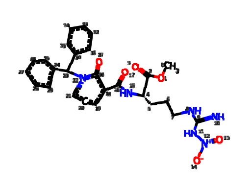 COC(=O)[C@H](CCCNC(=N)N[N+](=O)[O-])NC(=O)c1cccn(C(c2ccccc2)c2ccccc2)c1=O